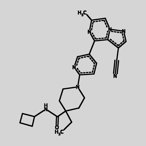 CCC1(C(=O)NC2CCC2)CCN(c2ccc(-c3nc(C)cn4ncc(C#N)c34)cn2)CC1